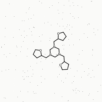 C1COC(CN2CN(CC3CCCO3)CN(CC3CCCO3)C2)C1